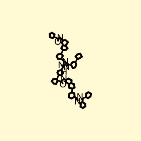 c1ccc(-c2cccc(-c3nc(-c4ccc(-c5ccccc5C5Nc6ccc7ccc(-c8cccc(-c9nc(-c%10ccccc%10)c%10ccccc%10n9)c8)cc7c6O5)cc4)nc(-c4cccc(-c5ccc6ccc7nc(-c8ccccc8)oc7c6c5)c4)n3)c2)cc1